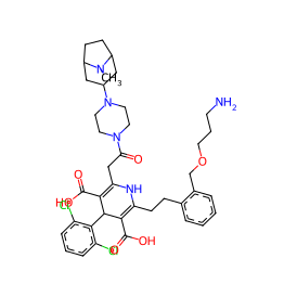 CN1C2CCC1CC(N1CCN(C(=O)CC3=C(C(=O)O)C(c4c(Cl)cccc4Cl)C(C(=O)O)=C(CCc4ccccc4COCCCN)N3)CC1)C2